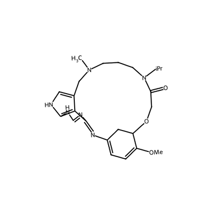 COC1=CC=C2CC1OCC(=O)N(C(C)C)CCCN(C)Cc1c[nH]c3c1/C(=N/2)N=CN3